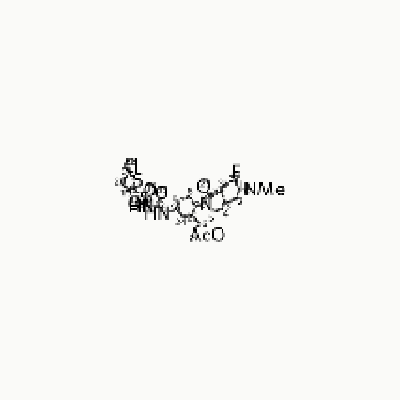 CNc1cc2ccn(-c3ccc(NC(=O)NS(=O)(=O)c4ccc(Cl)s4)cc3COC(C)=O)c(=O)c2cc1F